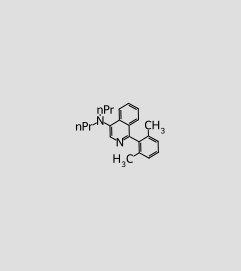 CCCN(CCC)c1cnc(-c2c(C)cccc2C)c2ccccc12